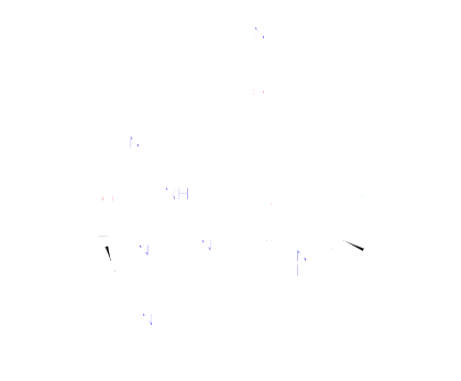 Cc1ncc(-c2ccnc(NC(=O)N3c4nc(C(=O)N[C@H](C)C(F)(F)F)cc(C)c4N4CC[C@H]3C4)c2)o1